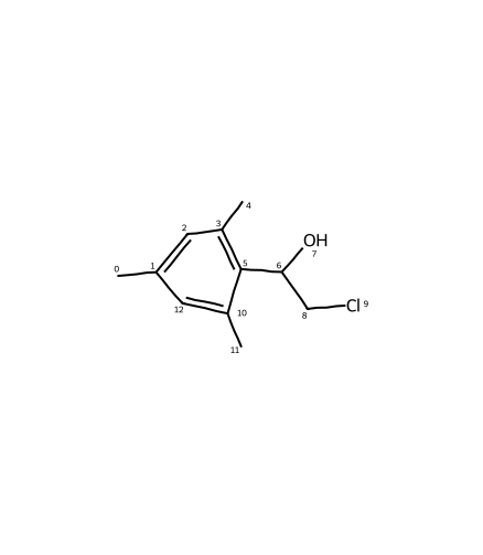 Cc1cc(C)c(C(O)CCl)c(C)c1